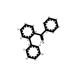 S=C(c1ccccc1)c1ccccc1-c1ccccc1